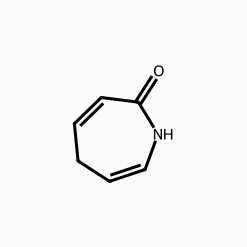 O=C1C=CCC=CN1